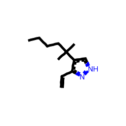 C=Cc1n[nH]cc1C(C)(C)CCCC